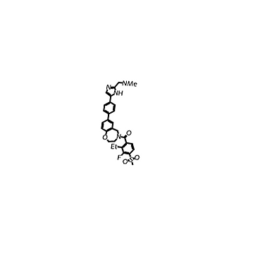 CCc1c(C(=O)N2CCOc3ccc(-c4ccc(-c5cnc(CNC)[nH]5)cc4)cc3C2)ccc(S(C)(=O)=O)c1F